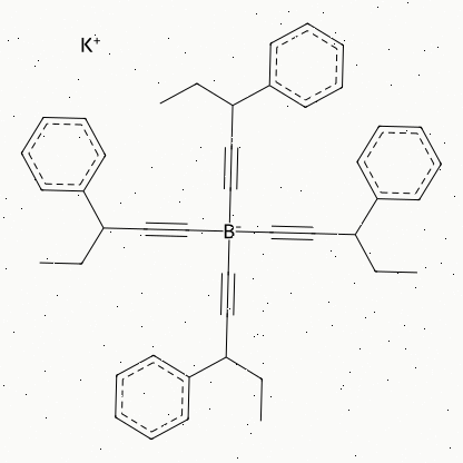 CCC(C#C[B-](C#CC(CC)c1ccccc1)(C#CC(CC)c1ccccc1)C#CC(CC)c1ccccc1)c1ccccc1.[K+]